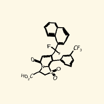 O=C(O)C1CS(=O)(=O)c2c(-c3cccc(C(F)(F)F)c3)c(C(F)(F)c3cccc4ccccc34)cc(=O)n21